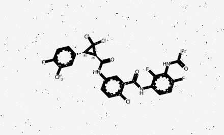 CC(C)C(=O)Nc1c(F)ccc(NC(=O)c2cc(NC(=O)[C@H]3[C@H](c4ccc(F)c(C(F)(F)F)c4)C3(Cl)Cl)ccc2Cl)c1F